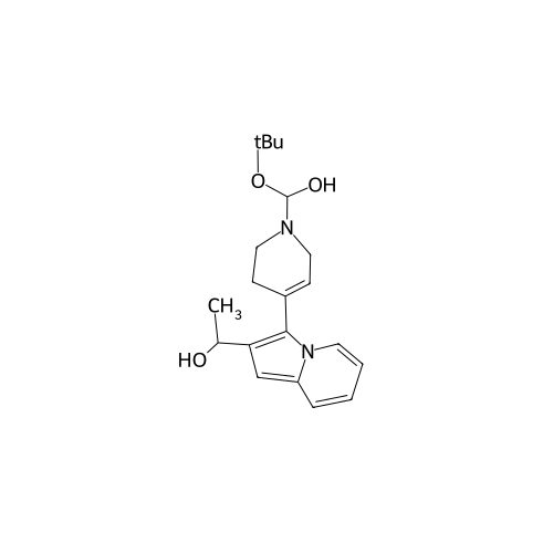 CC(O)c1cc2ccccn2c1C1=CCN(C(O)OC(C)(C)C)CC1